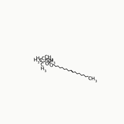 CCCCCCCC/C=C/CCCCCCCCOC(=O)OC(C(C)C)C(C)(C)C